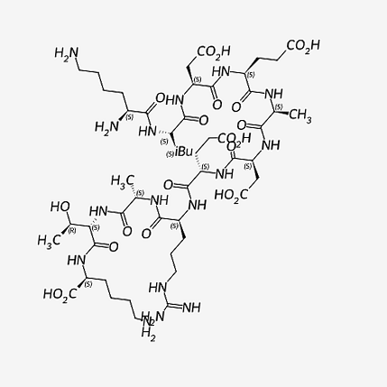 CC[C@H](C)[C@H](NC(=O)[C@@H](N)CCCCN)C(=O)N[C@@H](CC(=O)O)C(=O)N[C@@H](CCC(=O)O)C(=O)N[C@@H](C)C(=O)N[C@@H](CC(=O)O)C(=O)N[C@@H](CCC(=O)O)C(=O)N[C@@H](CCCNC(=N)N)C(=O)N[C@@H](C)C(=O)N[C@H](C(=O)N[C@@H](CCCCN)C(=O)O)[C@@H](C)O